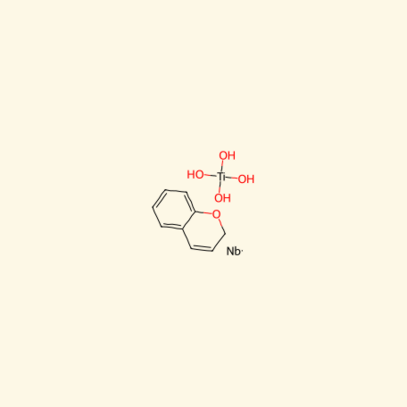 C1=Cc2ccccc2OC1.[Nb].[OH][Ti]([OH])([OH])[OH]